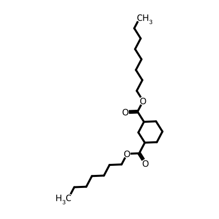 CCCCCCCCOC(=O)C1CCCC(C(=O)OCCCCCCC)C1